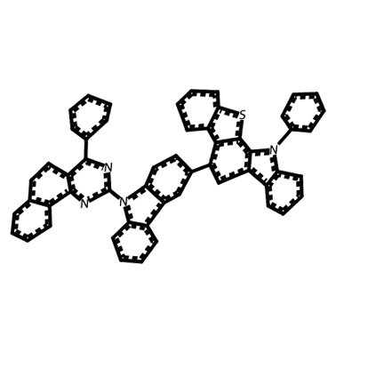 c1ccc(-c2nc(-n3c4ccccc4c4cc(-c5cc6c7ccccc7n(-c7ccccc7)c6c6sc7ccccc7c56)ccc43)nc3c2ccc2ccccc23)cc1